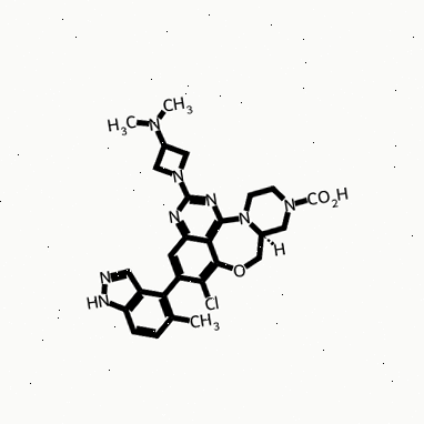 Cc1ccc2[nH]ncc2c1-c1cc2nc(N3CC(N(C)C)C3)nc3c2c(c1Cl)OC[C@@H]1CN(C(=O)O)CCN31